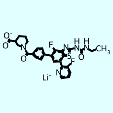 CCNC(=O)Nc1nc2c(F)c(-c3ccc(C(=O)N4CCCC(C(=O)[O-])C4)cc3)cc(-c3ncccc3F)c2s1.[Li+]